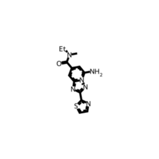 CCN(C)C(=O)c1cc(N)n2nc(-c3nccs3)nc2c1